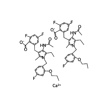 CCCOc1cc(F)ccc1Cn1c(C)c(Cc2cc(F)cc(F)c2C(=O)[O-])c(NC(C)=O)c1CC.CCCOc1cc(F)ccc1Cn1c(C)c(Cc2cc(F)cc(F)c2C(=O)[O-])c(NC(C)=O)c1CC.[Ca+2]